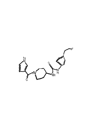 O=C(Nc1ccc(CF)cc1)NC1CCN(C(=O)c2cc[nH]c2)CC1